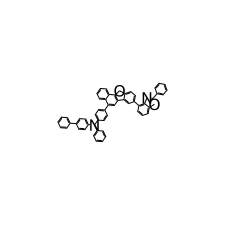 c1ccc(-c2ccc(N(c3ccccc3)c3ccc(-c4cc5c6cc(-c7cccc8oc(-c9ccccc9)nc78)ccc6oc5c5ccccc45)cc3)cc2)cc1